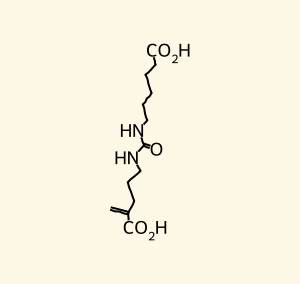 C=C(CCCNC(=O)NCCCCCC(=O)O)C(=O)O